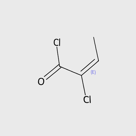 C/C=C(/Cl)C(=O)Cl